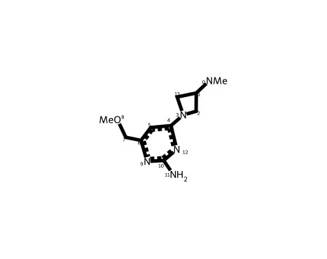 CNC1CN(c2cc(COC)nc(N)n2)C1